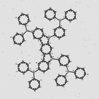 c1ccc(B(c2ccccc2)c2cccc(-n3c4ccc(B(c5ccccc5)c5ccccc5)cc4c4cc5c6cc(B(c7ccccc7)c7ccccc7)ccc6n(-c6cccc(B(c7ccccc7)c7ccccc7)c6)c5cc43)c2)cc1